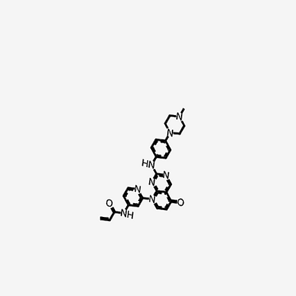 C=CC(=O)Nc1ccnc(-n2ccc(=O)c3cnc(Nc4ccc(N5CCN(C)CC5)cc4)nc32)c1